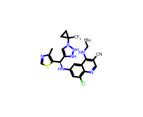 Cc1ncsc1[C@H](Nc1cc(Cl)c2ncc(C#N)c(NCC(C)(C)C)c2c1)C1=CN(C2(C(F)(F)F)CC2)NN1